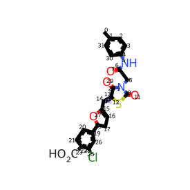 Cc1ccc(NC(=O)CN2C(=O)S/C(=C\C3=CCC(c4ccc(C(=O)O)c(Cl)c4)O3)C2=O)cc1